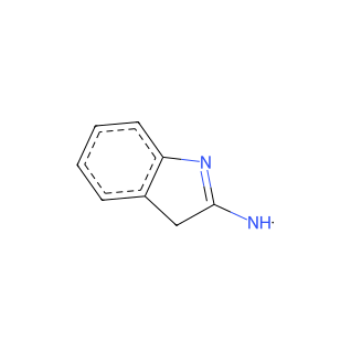 [NH]C1=Nc2ccccc2C1